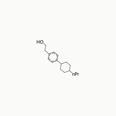 CCCC1CCC(c2ccc(CCO)cc2)CC1